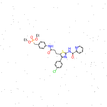 CCOP(=O)(Cc1ccc(NC(=O)CCc2sc(NC(=O)c3ccccn3)nc2-c2ccc(Cl)cc2)cc1)OCC